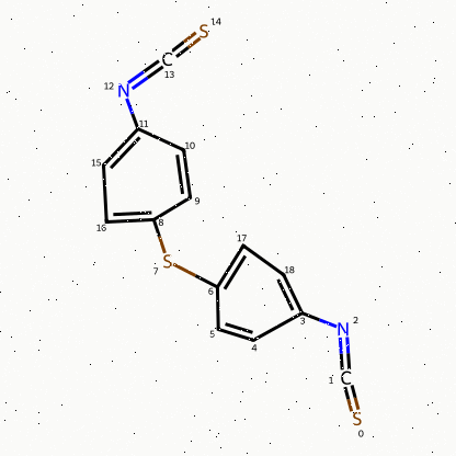 S=C=Nc1ccc(Sc2ccc(N=C=S)cc2)cc1